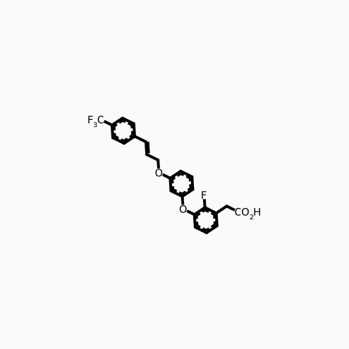 O=C(O)Cc1cccc(Oc2cccc(OC/C=C/c3ccc(C(F)(F)F)cc3)c2)c1F